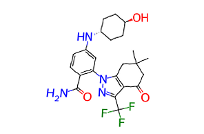 CC1(C)CC(=O)c2c(C(F)(F)F)nn(-c3cc(N[C@H]4CC[C@H](O)CC4)ccc3C(N)=O)c2C1